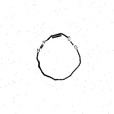 C1=COOCCCCCCCCN=N1